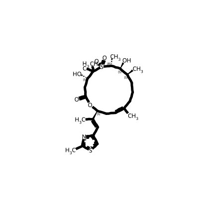 CC1=CC[C@@H](C(C)=Cc2csc(C)n2)OC(=O)C[C@H](O)C(C)(C)S(=O)(=O)[C@H](C)[C@@H](O)[C@@H](C)CCC1